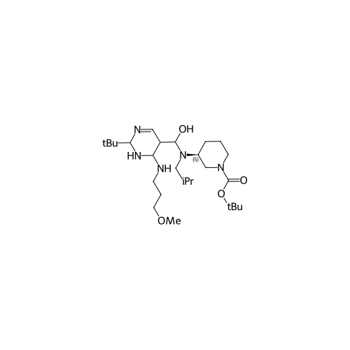 COCCCNC1NC(C(C)(C)C)N=CC1C(O)N(CC(C)C)[C@H]1CCCN(C(=O)OC(C)(C)C)C1